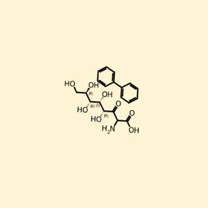 NC(C(=O)O)C(=O)[C@H](O)[C@@H](O)[C@H](O)[C@H](O)CO.c1ccc(-c2ccccc2)cc1